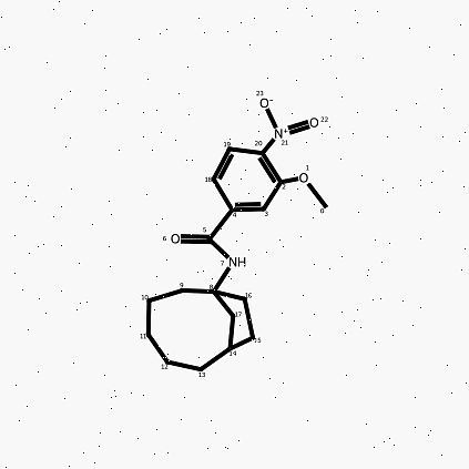 COc1cc(C(=O)NC23CCCCCC(CC2)C3)ccc1[N+](=O)[O-]